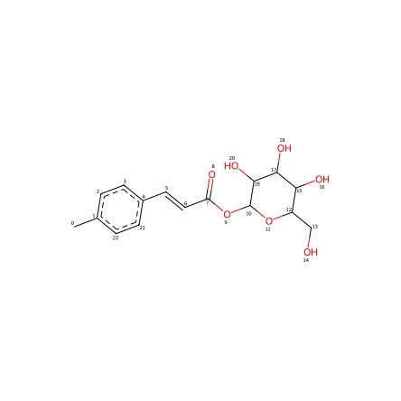 Cc1ccc(/C=C/C(=O)OC2OC(CO)C(O)C(O)C2O)cc1